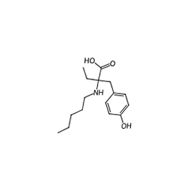 CCCCCNC(CC)(Cc1ccc(O)cc1)C(=O)O